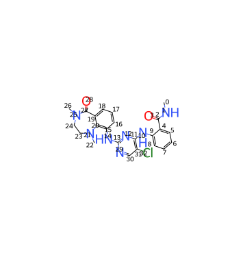 CNC(=O)c1ccccc1Nc1nc(Nc2cccc3c2N(C)CCN(C)C3=O)ncc1Cl